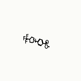 COC(=O)c1ccc(N2CCC(C(F)(F)F)CC2)cc1